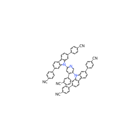 N#Cc1ccc(-c2ccc3c4ccc(-c5ccc(C#N)cc5)cc4n(-c4cc(-c5cccc(C#N)c5)c(-n5c6cc(-c7ccc(C#N)cc7)ccc6c6ccc(-c7ccc(C#N)cc7)cc65)cn4)c3c2)cc1